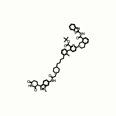 Cc1c(CCCCC2CCN(CC(=O)Nc3ccc4c(C5CCC(=O)NC5=O)nn(C)c4c3)CC2)cccc1-c1ccc(N2CCc3cccc(C(=O)Nc4nc5ccccc5s4)c3C2)nc1C(=O)OC(C)(C)C